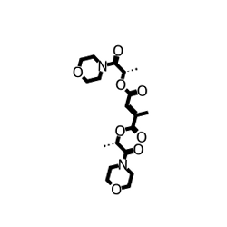 C/C(=C\C(=O)O[C@@H](C)C(=O)N1CCOCC1)C(=O)O[C@@H](C)C(=O)N1CCOCC1